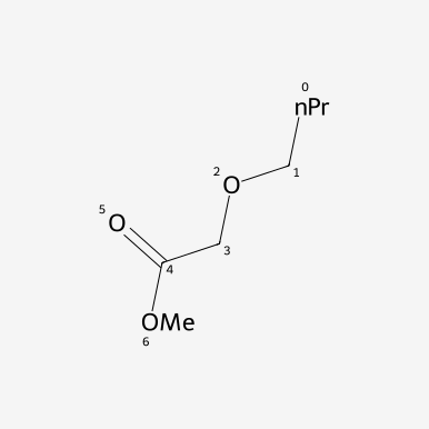 [CH2]CCCOCC(=O)OC